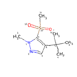 Cn1ncc(C(C)(C)C)c1S(C)(=O)=O